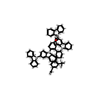 N#Cc1ccc(-n2c3ccccc3c3cc(-n4c5ccccc5c5ccccc54)ccc32)c(-c2cc(-c3ccc(C#N)cc3C(F)(F)F)ccc2-n2c3ccccc3c3cc(-n4c5ccccc5c5ccccc54)ccc32)c1